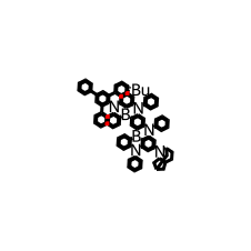 CC(C)(C)c1cc2c3c(c1)N(c1c(-c4ccccc4)cc(-c4ccccc4)cc1-c1ccccc1)c1ccccc1B3c1cc3c(cc1N2c1ccccc1)N(c1ccccc1)c1cc(N2C4CCC5CC(C4)CC52)cc2c1B3c1ccccc1N2c1ccccc1